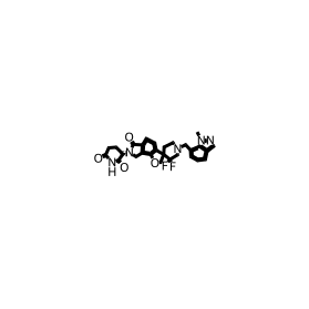 Cn1ncc2cccc(CN3CCC4(COc5c4ccc4c5CN([C@H]5CCC(=O)NC5=O)C4=O)C(F)(F)C3)c21